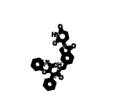 NC(=O)C(Oc1ccccc1)[C@@H](C(=O)NCc1ccc2c(c1)CN(C1CCC(=O)NC1=O)C2=O)c1ccccc1